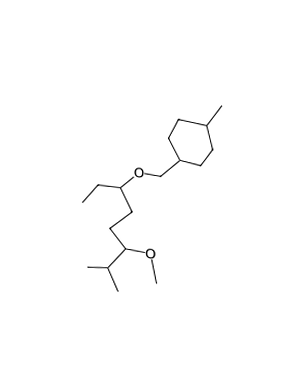 CCC(CCC(OC)C(C)C)OCC1CCC(C)CC1